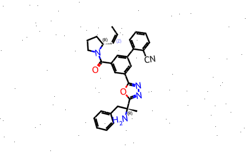 C/C=C\[C@H]1CCCN1C(=O)c1cc(-c2nnc([C@](C)(N)Cc3ccccc3)o2)cc(-c2ccccc2C#N)c1